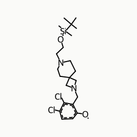 COc1ccc(Cl)c(Cl)c1CN1CC2(CCN(CCO[Si](C)(C)C(C)(C)C)CC2)C1